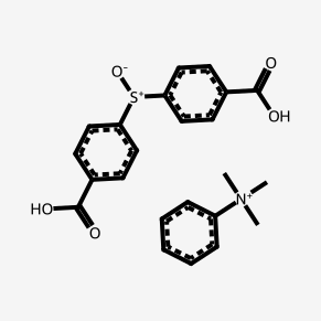 C[N+](C)(C)c1ccccc1.O=C(O)c1ccc([S+]([O-])c2ccc(C(=O)O)cc2)cc1